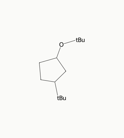 CC(C)(C)OC1CCC(C(C)(C)C)C1